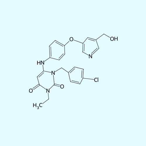 CCn1c(=O)cc(Nc2ccc(Oc3cncc(CO)c3)cc2)n(Cc2ccc(Cl)cc2)c1=O